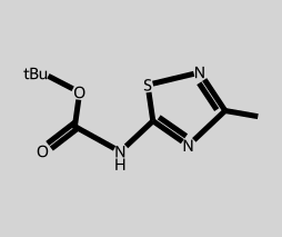 Cc1nsc(NC(=O)OC(C)(C)C)n1